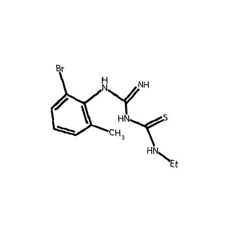 CCNC(=S)NC(=N)Nc1c(C)cccc1Br